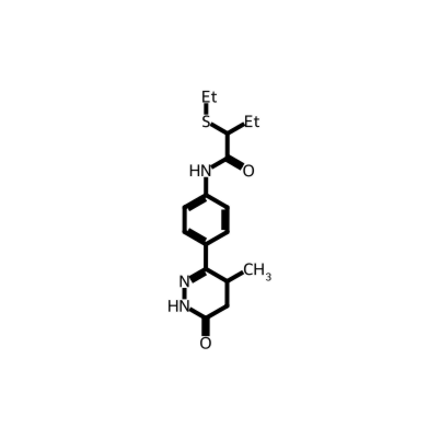 CCSC(CC)C(=O)Nc1ccc(C2=NNC(=O)CC2C)cc1